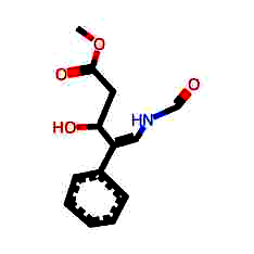 COC(=O)CC(O)C(=CNC=O)c1ccccc1